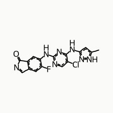 Cc1cc(Nc2nc(Nc3cc4c(cc3F)C=NC4=O)ncc2Cl)n[nH]1